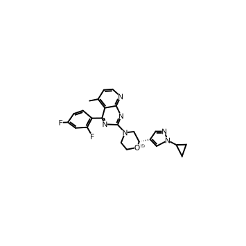 Cc1ccnc2nc(N3CCO[C@@H](c4cnn(C5CC5)c4)C3)nc(-c3ccc(F)cc3F)c12